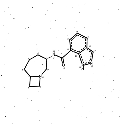 O=C(N[C@H]1CCCC2CCN2C1)c1cccc2cn[nH]c12